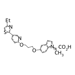 CCc1csc(-c2ccc(OCCCOc3ccc4c(ccn4[C@@H](C)C(=O)O)c3)nc2)n1